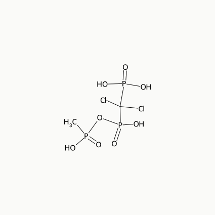 CP(=O)(O)OP(=O)(O)C(Cl)(Cl)P(=O)(O)O